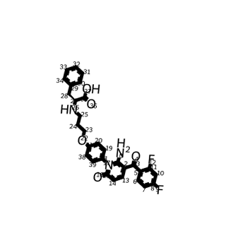 Nc1c(C(=O)c2ccc(F)cc2F)ccc(=O)n1-c1ccc(OCCCN[C@@H](Cc2ccccc2)C(=O)O)cc1